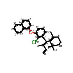 C=C/C(C)=C(\C1=C(C)CCCC1(C)C)c1cccc(Oc2cccc3ccccc23)c1Cl